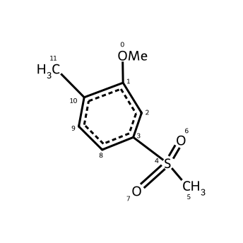 COc1cc(S(C)(=O)=O)ccc1C